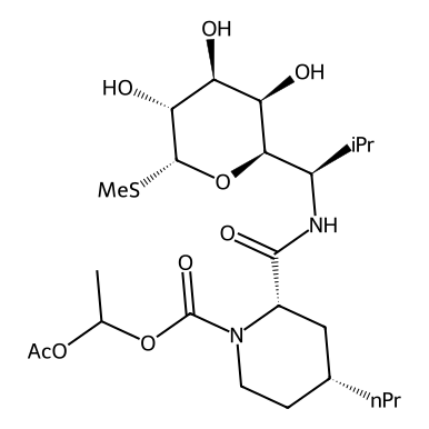 CCC[C@@H]1CCN(C(=O)OC(C)OC(C)=O)[C@H](C(=O)N[C@H](C(C)C)[C@H]2O[C@H](SC)[C@H](O)[C@@H](O)[C@H]2O)C1